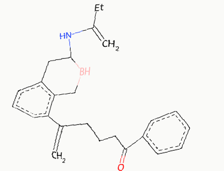 C=C(CC)NC1BCc2c(cccc2C(=C)CCCC(=O)c2ccccc2)C1